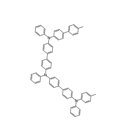 Cc1ccc(-c2ccc(N(c3ccccc3)c3ccc(-c4ccc(N(c5ccccc5)c5ccc(-c6ccc(N(c7ccccc7)c7ccc(C)cc7)cc6)cc5)cc4)cc3)cc2)cc1